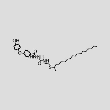 CCCCCCCCCCCCCCCCC(C)SCCNC(=O)NNC(=O)c1ccc(Oc2ccc(O)cc2)cc1